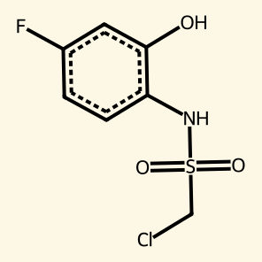 O=S(=O)(CCl)Nc1ccc(F)cc1O